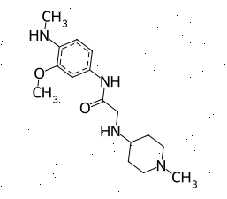 CNc1ccc(NC(=O)CNC2CCN(C)CC2)cc1OC